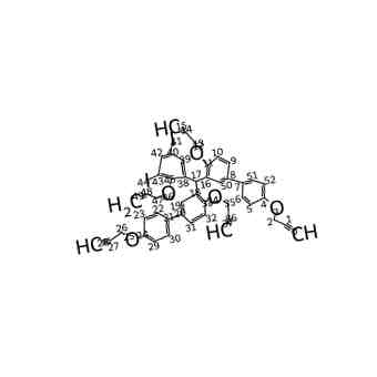 C#CCOc1ccc(-c2ccc(OCC#C)c(C(c3cc(-c4ccc(OCC#C)cc4)ccc3OCC#C)c3cc(I)cc(I)c3OCC=C)c2)cc1